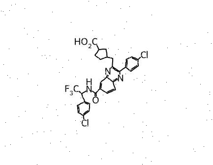 O=C(N[C@@H](c1ccc(Cl)cc1)C(F)(F)F)c1ccc2nc(-c3ccc(Cl)cc3)c(CC3CCC(C(=O)O)C3)nc2c1